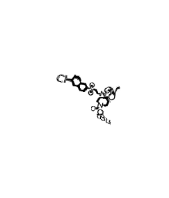 CN1ON(CCS(=O)(=O)c2ccc3cc(Cl)ccc3c2)C2(CCN(C(=O)OC(C)(C)C)CC2)O1